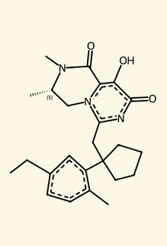 CCc1ccc(C)c(C2(Cc3nc(=O)c(O)c4n3C[C@H](C)N(C)C4=O)CCCC2)c1